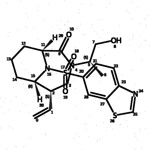 C=C[C@H]1CN([C@@H](C)CO)C(=O)[C@@H]2CCC[C@H]1N2S(=O)(=O)c1ccc2ncsc2c1